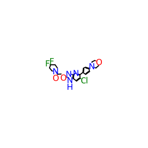 O=C(COc1nc2nc(-c3ccc(N4CCOCC4)cc3)c(Cl)cc2[nH]1)N1CCC(F)(F)CC1